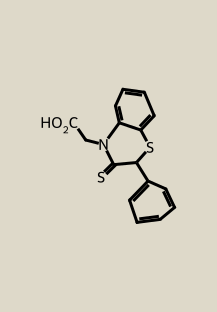 O=C(O)CN1C(=S)C(c2ccccc2)Sc2ccccc21